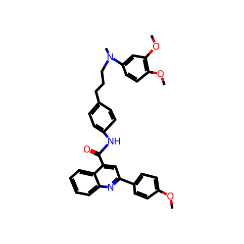 COc1ccc(-c2cc(C(=O)Nc3ccc(CCCN(C)c4ccc(OC)c(OC)c4)cc3)c3ccccc3n2)cc1